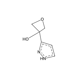 OC1(c2cc[nH]n2)COC1